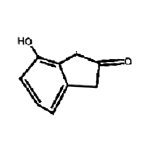 O=C1[CH]c2c(O)cccc2C1